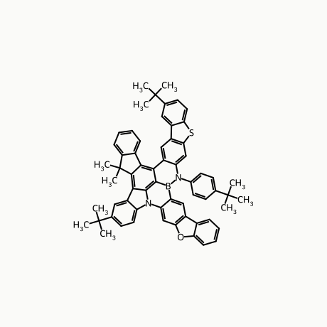 CC(C)(C)c1ccc(N2B3c4cc5c(cc4-n4c6ccc(C(C)(C)C)cc6c6c7c(c(c3c64)-c3cc4c(cc32)sc2ccc(C(C)(C)C)cc24)-c2ccccc2C7(C)C)oc2ccccc25)cc1